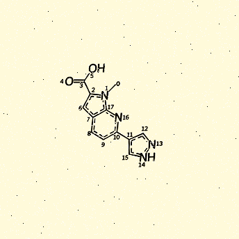 Cn1c(C(=O)O)cc2ccc(-c3cn[nH]c3)nc21